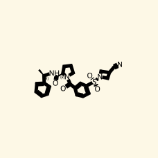 C[C@@H](NC(=O)[C@H]1CCCN1C(=O)c1cccc(S(=O)(=O)N2CC(C#N)C2)c1)c1ccccc1